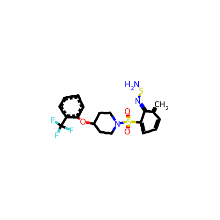 C=C1C=CC=C(S(=O)(=O)N2CCC(Oc3ccccc3C(F)(F)F)CC2)/C1=N/SN